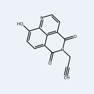 C#CCN1C(=O)c2ccnc3c(O)ccc(c23)C1=O